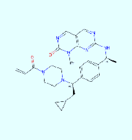 C=CC(=O)N1CCN([C@H](CC2CC2)c2ccc([C@H](C)Nc3ncc4cnc(=O)n(C(C)C)c4n3)cc2)CC1